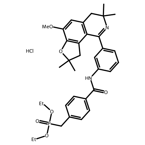 CCOP(=O)(Cc1ccc(C(=O)Nc2cccc(C3=NC(C)(C)Cc4cc(OC)c5c(c43)CC(C)(C)O5)c2)cc1)OCC.Cl